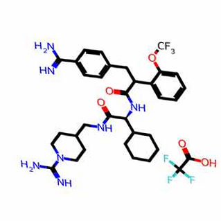 N=C(N)c1ccc(CC(C(=O)N[C@H](C(=O)NCC2CCN(C(=N)N)CC2)C2CCCCC2)c2ccccc2OC(F)(F)F)cc1.O=C(O)C(F)(F)F